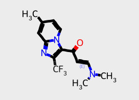 Cc1ccn2c(C(=O)/C=C/N(C)C)c(C(F)(F)F)nc2c1